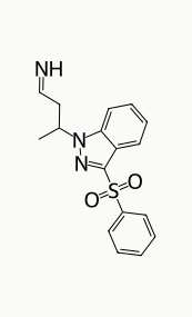 CC(CC=N)n1nc(S(=O)(=O)c2ccccc2)c2ccccc21